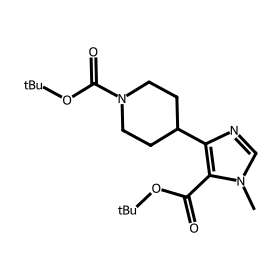 Cn1cnc(C2CCN(C(=O)OC(C)(C)C)CC2)c1C(=O)OC(C)(C)C